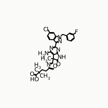 CC(C)(CCc1coc(C2(C)C(=O)Nc3nc(-c4nn(Cc5cccc(F)c5)c5cc(Cl)ccc45)nc(N)c32)n1)C(=O)O